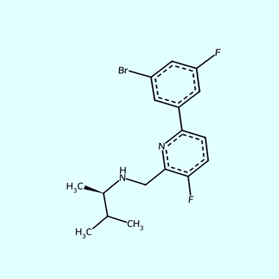 CC(C)[C@@H](C)NCc1nc(-c2cc(F)cc(Br)c2)ccc1F